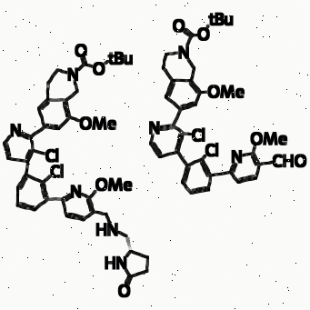 COc1cc(-c2nccc(-c3cccc(-c4ccc(C=O)c(OC)n4)c3Cl)c2Cl)cc2c1CN(C(=O)OC(C)(C)C)CC2.COc1cc(-c2nccc(-c3cccc(-c4ccc(CNC[C@@H]5CCC(=O)N5)c(OC)n4)c3Cl)c2Cl)cc2c1CN(C(=O)OC(C)(C)C)CC2